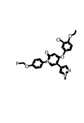 CCOc1ccc(Oc2cc(=O)n(-c3ccc(OCF)cc3)cc2-c2cnn(C)c2)cc1Cl